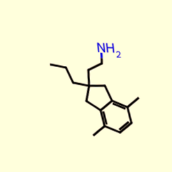 CCCC1(CCN)Cc2c(C)ccc(C)c2C1